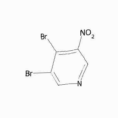 O=[N+]([O-])c1cncc(Br)c1Br